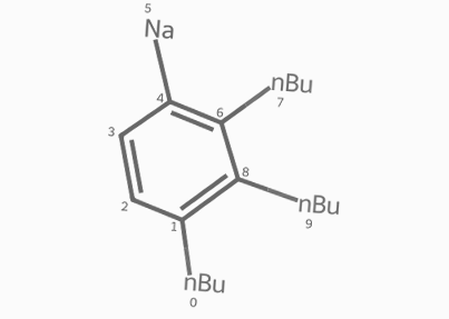 CCCCc1cc[c]([Na])c(CCCC)c1CCCC